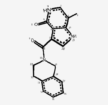 Cc1c[nH]c(=O)c2c(C(=O)N3CCc4ccccc4C3)c[nH]c12